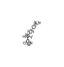 COc1cc(-c2[nH]nc(-c3cnc(C4CCN(C(=O)CN(C)C)CC4)cn3)c2C(C)C)cn2ncnc12